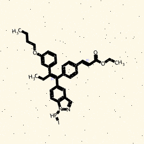 CCCCOc1cccc(/C(CC)=C(\c2ccc(/C=C/C(=O)OCC)cc2)c2ccc3c(cnn3PI)c2)c1